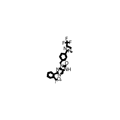 CO[C@H](C)c1ccccc1-c1ncc2[nH]c(=O)n(Cc3ccc(-c4nc(C(F)(F)F)cn4C)cc3)c2n1